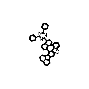 c1ccc(-c2nc(-c3ccccc3)nc(-c3cccc4c(-c5c6c(cc7oc8ccccc8c57)-c5cccc7cccc-6c57)cccc34)n2)cc1